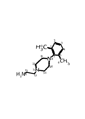 Cc1cccc(C)c1N1CCN(CCN)CC1